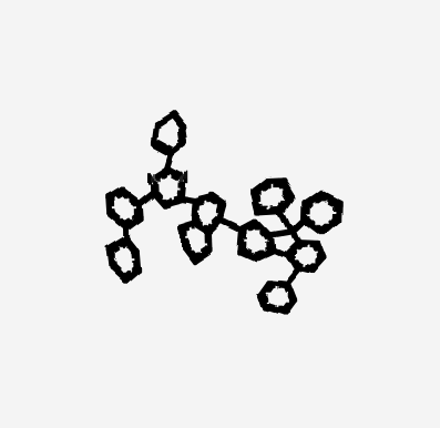 C1=CC(c2nc(-c3cccc(-c4ccccc4)c3)cc(-c3ccc(-c4ccc5c(c4)C(c4ccccc4)(c4ccccc4)c4cccc(-c6ccccc6)c4-5)c4ccccc34)n2)=CCC1